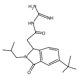 CC(C)CN1C(=O)c2cc(C(C)(C)C)ccc2C1CC(=O)NC(=N)N